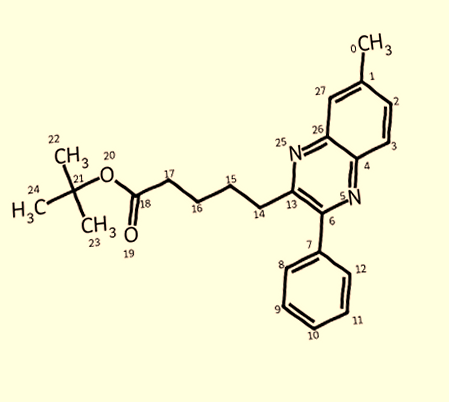 Cc1ccc2nc(-c3ccccc3)c(CCCCC(=O)OC(C)(C)C)nc2c1